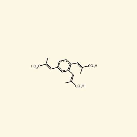 C/C(=C\c1ccc(/C=C(\C)C(=O)O)c(/C=C(\C)C(=O)O)c1)C(=O)O